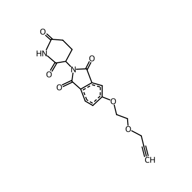 C#CCOCCOc1ccc2c(c1)C(=O)N(C1CCC(=O)NC1=O)C2=O